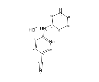 Cl.N#Cc1ccc(NC2CCCNC2)nc1